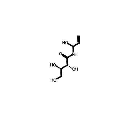 C=CC(O)NC(=O)[C@H](O)[C@H](O)CO